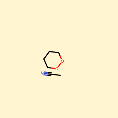 C1CCOOC1.CC#N